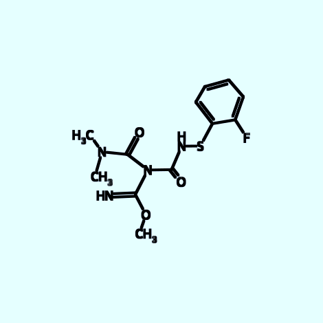 COC(=N)N(C(=O)NSc1ccccc1F)C(=O)N(C)C